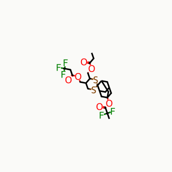 CCC(=O)OCC1SC2(SCC1COC(=O)CC(F)(F)F)C1CC3CC2CC(OC(=O)C(C)(F)F)(C3)C1